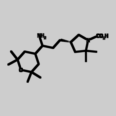 CC1(C)CC(C(N)CC[C@@H]2CN(C(=O)O)C(C)(C)C2)CC(C)(C)O1